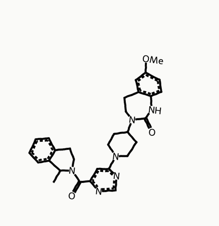 COc1ccc2c(c1)CCN(C1CCN(c3cc(C(=O)N4CCc5ccccc5C4C)ncn3)CC1)C(=O)N2